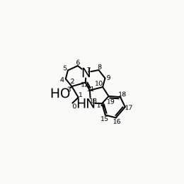 CC[C@]1(O)CCCN2CCC3C(=C21)Nc1ccccc13